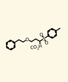 Cc1ccc(S(=O)(=O)C(CCOCCc2ccccc2)C(=O)O)cc1